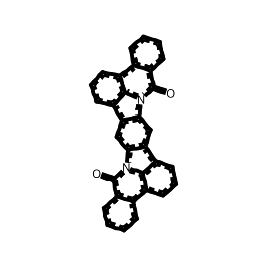 O=c1c2ccccc2c2cccc3c4cc5c(cc4n1c23)c1cccc2c3ccccc3c(=O)n5c21